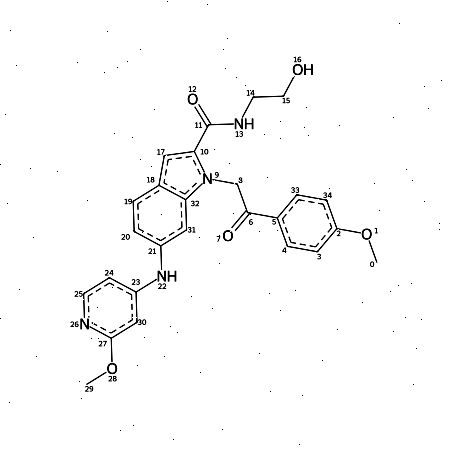 COc1ccc(C(=O)Cn2c(C(=O)NCCO)cc3ccc(Nc4ccnc(OC)c4)cc32)cc1